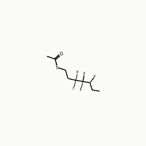 CCC(F)C(F)(F)C(F)(F)CCSC(C)=O